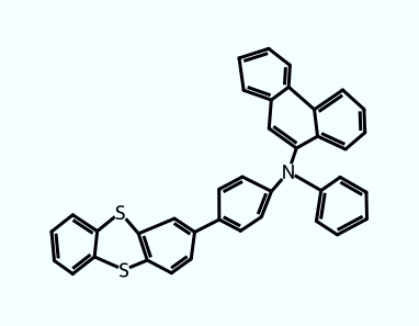 c1ccc(N(c2ccc(-c3ccc4c(c3)Sc3ccccc3S4)cc2)c2cc3ccccc3c3ccccc23)cc1